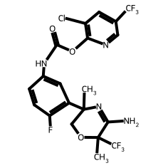 CC1(c2cc(NC(=O)Oc3ncc(C(F)(F)F)cc3Cl)ccc2F)COC(C)(C(F)(F)F)C(N)=N1